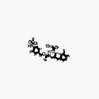 Cc1ccc(CC(CNC(=S)OCc2ccc(NS(C)(=O)=O)c(F)c2)COC(=O)C(C)(C)C)cc1C